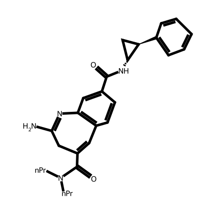 CCCN(CCC)C(=O)C1=Cc2ccc(C(=O)N[C@@H]3C[C@H]3c3ccccc3)cc2N=C(N)C1